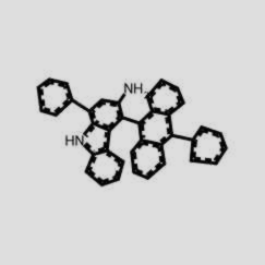 Nc1cc(-c2ccccc2)c2[nH]c3ccccc3c2c1-c1c2ccccc2c(-c2ccccc2)c2ccccc12